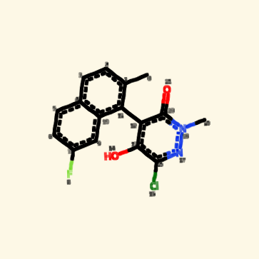 Cc1ccc2ccc(F)cc2c1-c1c(O)c(Cl)nn(C)c1=O